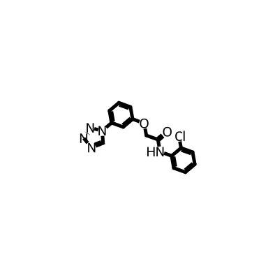 O=C(COc1cccc(-n2cnnn2)c1)Nc1ccccc1Cl